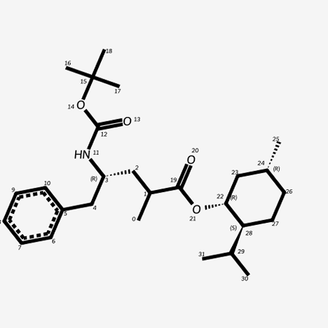 CC(C[C@H](Cc1ccccc1)NC(=O)OC(C)(C)C)C(=O)O[C@@H]1C[C@H](C)CC[C@H]1C(C)C